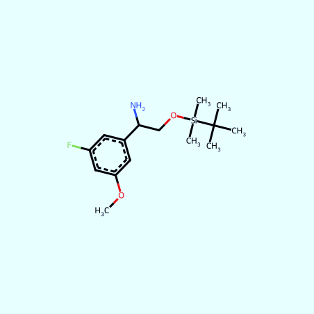 COc1cc(F)cc(C(N)CO[Si](C)(C)C(C)(C)C)c1